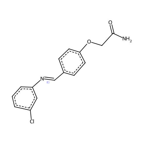 NC(=O)COc1ccc(/C=N/c2cccc(Cl)c2)cc1